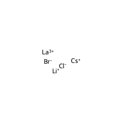 [Br-].[Cl-].[Cs+].[La+3].[Li+]